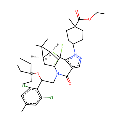 CCOC(=O)C1(C)CCC(n2ncc(C(=O)N(CC(O[Si](CC)(CC)CC)c3c(Cl)cc(C)cc3Cl)C3C[C@@H]4[C@H](C3)C4(C)C)c2C(F)(F)F)CC1